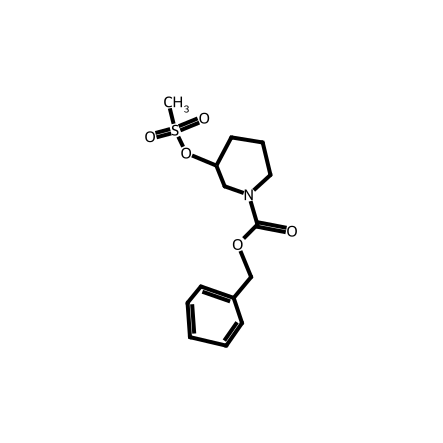 CS(=O)(=O)OC1CCCN(C(=O)OCc2ccccc2)C1